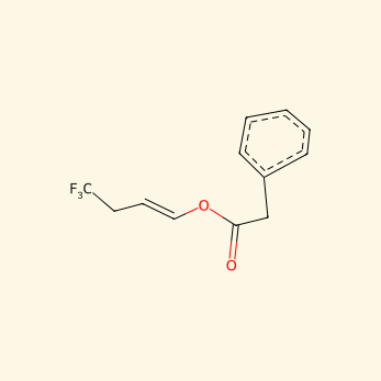 O=C(Cc1ccccc1)OC=CCC(F)(F)F